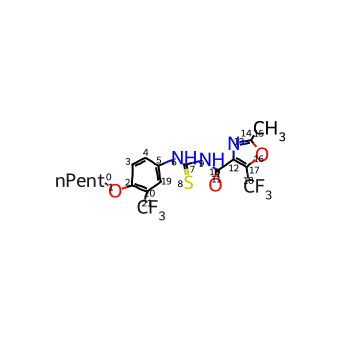 CCCCCOc1ccc(NC(=S)NC(=O)c2nc(C)oc2C(F)(F)F)cc1C(F)(F)F